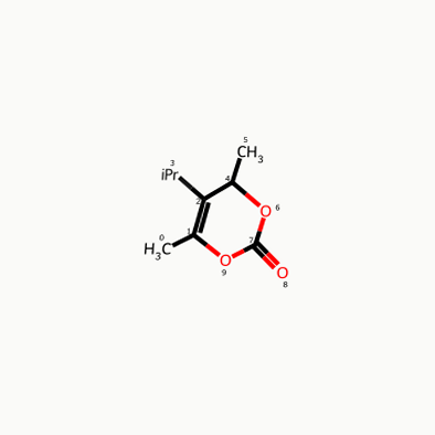 CC1=C(C(C)C)C(C)OC(=O)O1